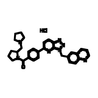 Cl.O=C(c1ccc(-c2ccc3nnn(Cc4ccc5ncccc5c4)c3n2)cc1)N1CCCC1CN1CCCC1